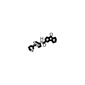 O=C(Nc1ccn2c1CSC2c1cccnc1)c1ccc2c(c1)-c1ccccc1C2=O